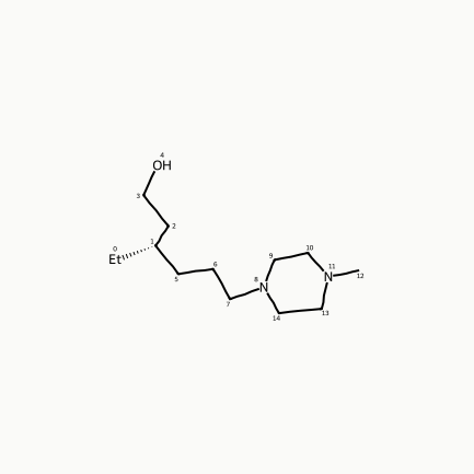 CC[C@H](CCO)CCCN1CCN(C)CC1